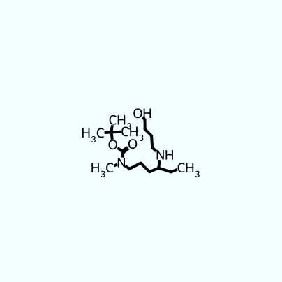 CCC(CCCN(C)C(=O)OC(C)(C)C)NCCCCO